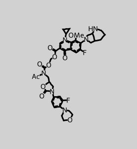 COc1c(N2CC3CCCNC3C2)c(F)cc2c(=O)c(C(=O)OCOC(=O)N(CC3CN(c4ccc(N5CCOCC5)c(F)c4)C(=O)O3)C(C)=O)cn(C3CC3)c12